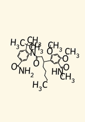 CCCCCC(CC(=O)Nc1cc(C(N)=O)ccc1C(C)(C)C)c1cc(C(=O)NC)c(OC)cc1OC